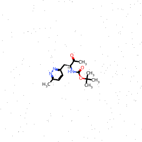 CC(=O)[C@H](Cc1ccc(C)nn1)NC(=O)OC(C)(C)C